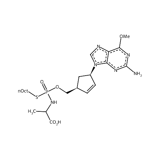 CCCCCCCCSP(=O)(NC(C)C(=O)O)OC[C@@H]1C=C[C@H](n2cnc3c(OC)nc(N)nc32)C1